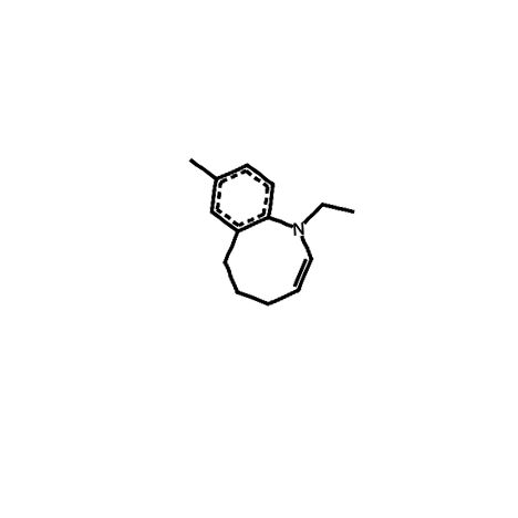 CCN1/C=C\CCCc2cc(C)ccc21